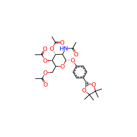 CC(=O)NC1[C@H](Oc2ccc(B3OC(C)(C)C(C)(C)O3)cc2)OC(COC(C)=O)[C@@H](OC(C)=O)[C@@H]1OC(C)=O